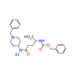 CCN(C(=O)CCC(NC(=O)OCc1ccccc1)C(=O)O)C1CCN(Cc2ccccc2)CC1